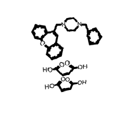 C1=C(CN2CCN(Cc3ccccc3)CC2)c2ccccc2Oc2ccccc21.O=C(O)/C=C\C(=O)O.O=C(O)/C=C\C(=O)O